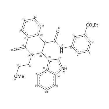 CCOC(=O)c1cccc(NC(=O)C2c3ccccc3C(=O)N(CCOC)C2c2c[nH]c3ccccc23)c1